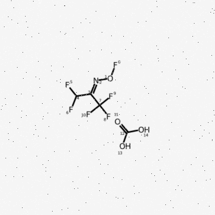 FON=C(C(F)F)C(F)(F)F.O=C(O)O